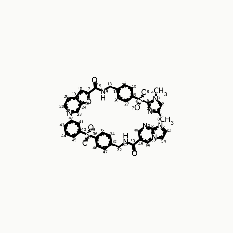 Cc1cn(C)c(S(=O)(=O)c2ccc(CNC(=O)c3cc4ccncc4o3)cc2)n1.O=C(NCc1ccc(S(=O)(=O)c2ccccc2)cc1)c1cnc2nccn2c1